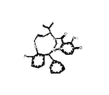 CC(C)C1/C=C/COc2c(F)cccc2C(c2ccccc2)N2CN1C(=O)c1c(O)c(=O)ccn12